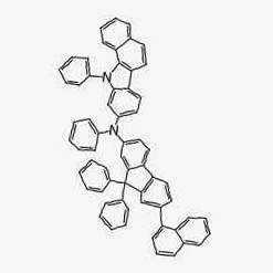 c1ccc(N(c2ccc3c(c2)C(c2ccccc2)(c2ccccc2)c2cc(-c4cccc5ccccc45)ccc2-3)c2ccc3c4ccc5ccccc5c4n(-c4ccccc4)c3c2)cc1